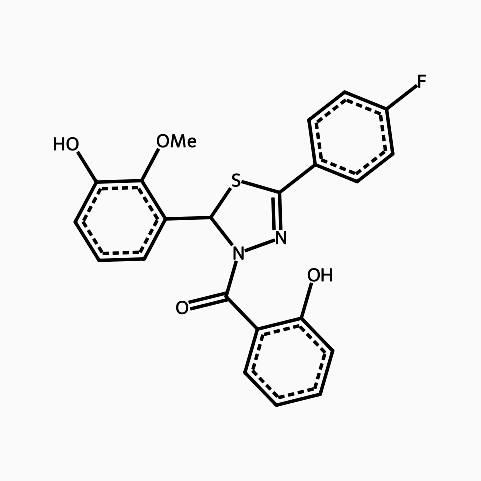 COc1c(O)cccc1C1SC(c2ccc(F)cc2)=NN1C(=O)c1ccccc1O